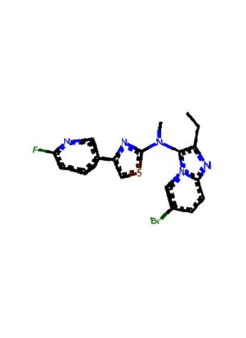 CCc1nc2ccc(Br)cn2c1N(C)c1nc(-c2ccc(F)nc2)cs1